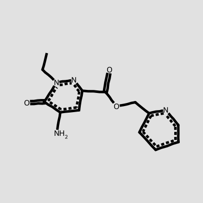 CCn1nc(C(=O)OCc2ccccn2)cc(N)c1=O